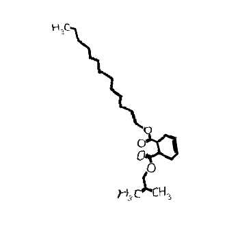 CCCCCCCCCCCCCOC(=O)C1CC=CCC1C(=O)OCC(C)C